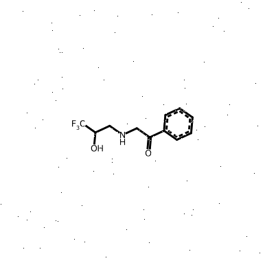 O=C(CNCC(O)C(F)(F)F)c1ccccc1